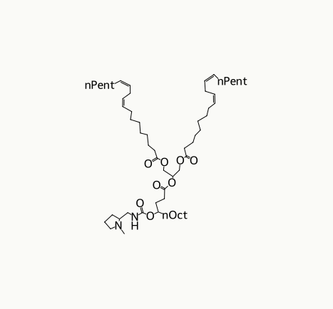 CCCCC/C=C\C/C=C\CCCCCCCC(=O)OCC(COC(=O)CCCCCCC/C=C\C/C=C\CCCCC)OC(=O)CCC(CCCCCCCC)OC(=O)NCC1CCCN1C